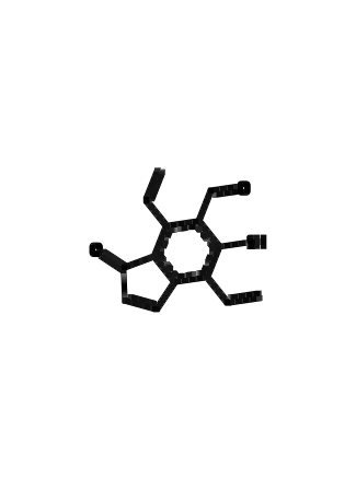 C=Cc1c(S)c(C=O)c(C=C)c2c1C=CC2=O